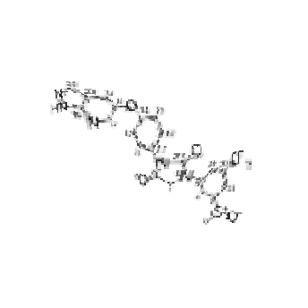 C[S+]([O-])c1cc(N2CC(=O)N(c3ccc(Oc4cnc5[nH]ncc5c4)cc3)C2=O)cc(C(F)(F)F)c1